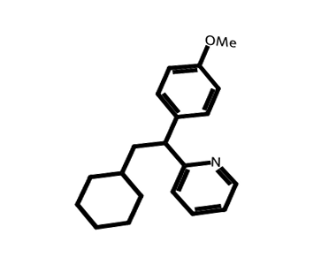 COc1ccc(C(CC2CCCCC2)c2ccccn2)cc1